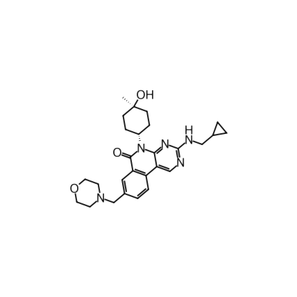 C[C@]1(O)CC[C@H](n2c(=O)c3cc(CN4CCOCC4)ccc3c3cnc(NCC4CC4)nc32)CC1